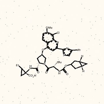 CCC1C[C@]1(NC(=O)[C@@H]1C[C@@H](Oc2cc(-c3nc(C(C)C)cs3)nc3c(Cl)c(OC)ccc23)CN1C(=O)[C@@H](NC(=O)OC1C[C@@H]2C[C@@H]2C1)C(C)(C)C)C(=O)O